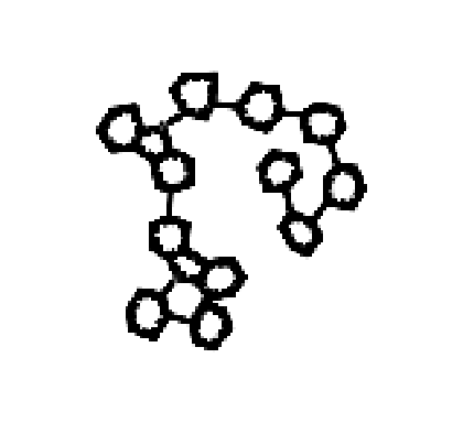 c1ccc(-c2ccccc2-c2cccc(-c3cccc(-c4ccc(-c5cccc(-n6c7ccccc7c7cc(-c8ccc9c(c8)c8ccccc8n9-c8ccccc8-c8ccccc8)ccc76)c5)cc4)c3)c2)cc1